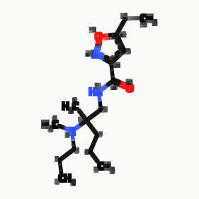 CCCN(C)C(C)(CCC)CNC(=O)c1cc(CC)on1